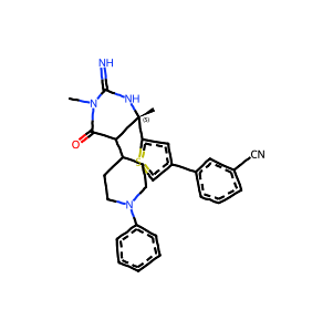 CN1C(=N)N[C@](C)(c2cc(-c3cccc(C#N)c3)cs2)C(C2CCN(c3ccccc3)CC2)C1=O